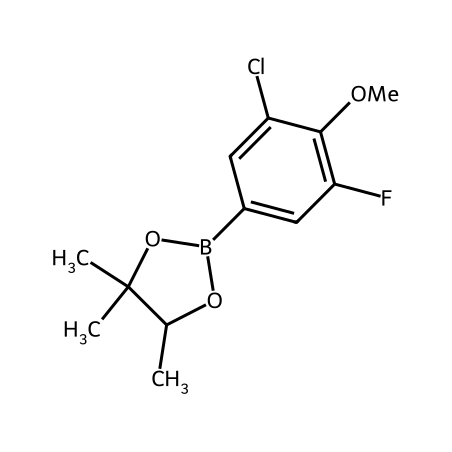 COc1c(F)cc(B2OC(C)C(C)(C)O2)cc1Cl